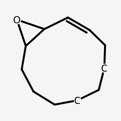 C1=CC2OC2CCCCCCC1